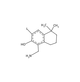 CC1(C)CCCc2c1cc(I)c(O)c2CN